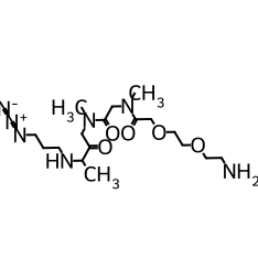 CC(NCCCN=[N+]=[N-])C(=O)CN(C)C(=O)CN(C)C(=O)COCCOCCN